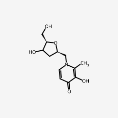 Cc1c(O)c(=O)ccn1C[C@H]1CC(O)[C@@H](CO)O1